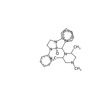 CC1CN(C)CC(C)N1C(c1ccccc1)P1(=O)N(c2ccccc2)CCN1c1ccccc1